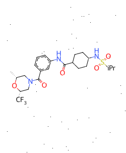 CC(C)S(=O)(=O)NC1CCC(C(=O)Nc2cccc(C(=O)N3C[C@@H](C)O[C@@H](C(F)(F)F)C3)c2)CC1